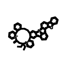 C=C1CC(CC)(CC)[n+]2ccccc2-c2cc3c4cccc5c6c7oc8ccccc8c7ccc6n(c3cc2CCc2ccccc2-c2cccc[n+]21)c45